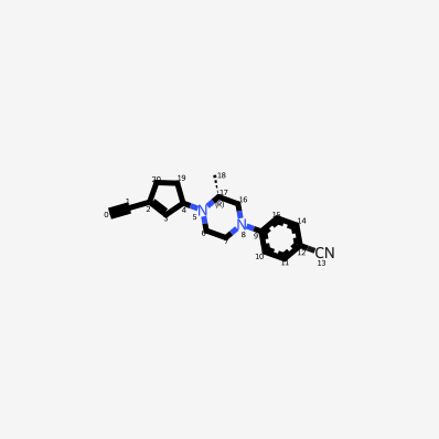 C#CC1=CC(N2CCN(c3ccc(C#N)cc3)C[C@H]2C)CC1